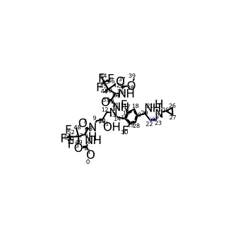 COC(=O)NC(C(=O)NC[C@@H](O)CN(Cc1c(F)cc(C(=N)/C=C\NC2CC2)cc1F)NC(=O)[C@@H](NC(=O)OC)C(C)(C)C(F)(F)F)C(C)(C)C(F)(F)F